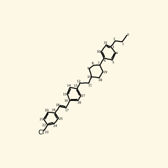 CCCc1ccc(C2CCC(CCc3ccc(C=Cc4ccc(Cl)cc4)cc3)CC2)cc1